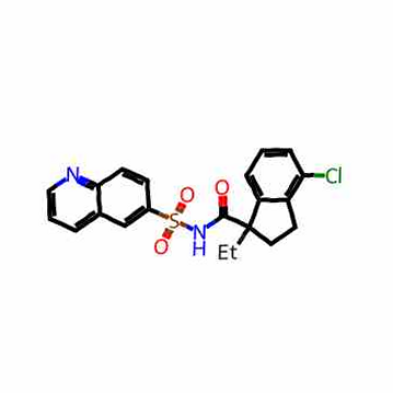 CCC1(C(=O)NS(=O)(=O)c2ccc3ncccc3c2)CCc2c(Cl)cccc21